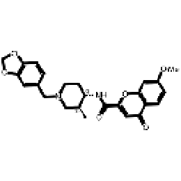 COc1ccc2c(=O)cc(C(=O)N[C@H]3CCN(Cc4ccc5c(c4)OCO5)C[C@@H]3C)oc2c1